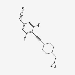 Fc1cc(N=C=S)cc(F)c1C#CC1CCC(CC2CC2)CC1